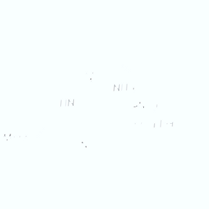 CCCCCS(=O)(=O)N(C)[C@H]1CCCCNC2CC(NC[C@@H](O)[C@H](Cc3ccccc3)NC1=O)c1cc(OC)ccc12